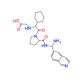 NC(NC(=O)C1CCCN1C(=O)C(NCC(=O)O)C1CCCCC1)c1ccc2cnccc2c1